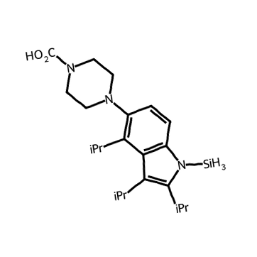 CC(C)c1c(N2CCN(C(=O)O)CC2)ccc2c1c(C(C)C)c(C(C)C)n2[SiH3]